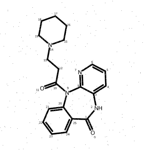 O=C1Nc2cccnc2N(C(=O)CCN2CCCCC2)c2ccccc21